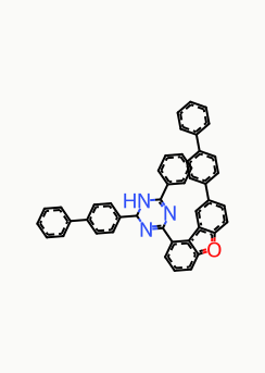 c1ccc(C2=NC(c3cccc4oc5ccc(-c6ccc(-c7ccccc7)cc6)cc5c34)=NC(c3ccc(-c4ccccc4)cc3)N2)cc1